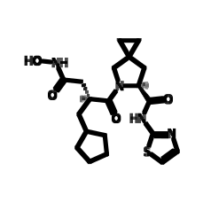 O=C(C[C@@H](CC1CCCC1)C(=O)N1CC2(CC2)C[C@H]1C(=O)Nc1nccs1)NO